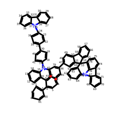 c1ccc(-c2ccccc2-c2ccccc2N(c2ccc(-c3ccc(-n4c5ccccc5c5ccccc54)cc3)cc2)c2cccc(-c3ccc4c(c3)C3(c5ccccc5-4)c4ccccc4-n4c5ccccc5c5cccc3c54)c2)cc1